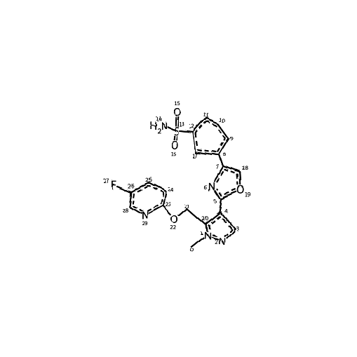 Cn1ncc(-c2nc(-c3cccc(S(N)(=O)=O)c3)co2)c1COc1ccc(F)cn1